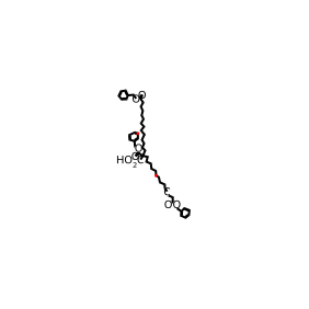 O=C(CCCCCCCCCCCCCC(CCCCCCCCCCCCCC(=O)OCc1ccccc1)(C(=O)O)C(=O)OCc1ccccc1)OCc1ccccc1